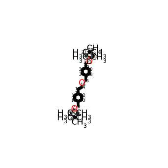 CC(C)(C)[Si](C)(C)OCc1ccc(C=COCc2ccc(CO[Si](C)(C)C(C)(C)C)cc2)cc1